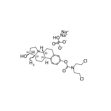 C[C@]12CC[C@@H]3c4ccc(OC(=O)N(CCCl)CCCl)cc4CC[C@H]3[C@@H]1CC[C@@H]2O.O=P([O-])([O-])O.[Na+].[Na+]